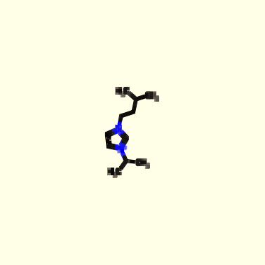 CC(C)CCn1cc[n+](C(C)C)c1